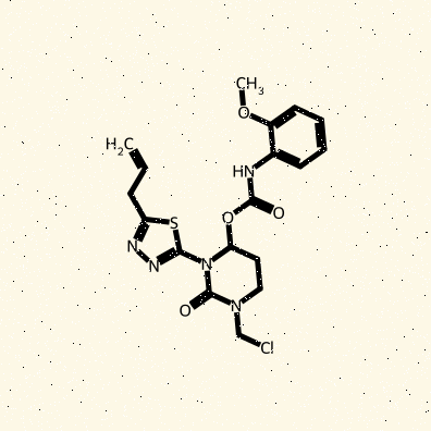 C=CCc1nnc(N2C(=O)N(CCl)CCC2OC(=O)Nc2ccccc2OC)s1